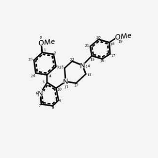 COc1ccc(-c2ncccc2N2CCN(c3ccc(OC)cc3)CC2)cc1